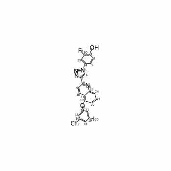 Oc1ccc(-n2cc(-c3ccc4c(Oc5cc(Cl)cc(I)c5)cccc4n3)nn2)cc1F